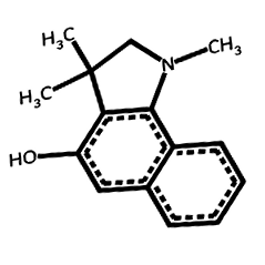 CN1CC(C)(C)c2c(O)cc3ccccc3c21